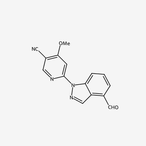 COc1cc(-n2ncc3c(C=O)cccc32)ncc1C#N